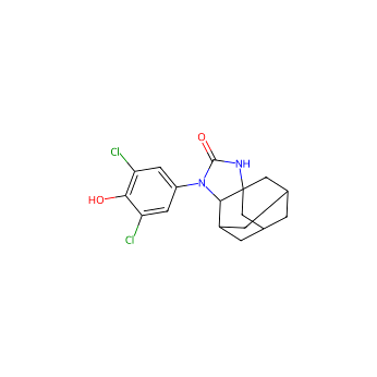 O=C1NC23CC4CC(CC(C4)C2N1c1cc(Cl)c(O)c(Cl)c1)C3